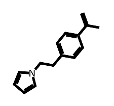 C=C(C)c1ccc(CCn2cccc2)cc1